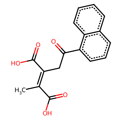 CC(C(=O)O)=C(CC(=O)c1cccc2ccccc12)C(=O)O